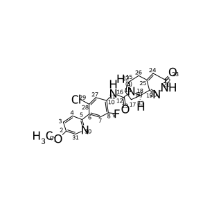 COc1ccc(-c2cc(F)c(NC(=O)N3[C@H]4CC[C@@H]3c3n[nH]c(=O)cc3C4)cc2Cl)nc1